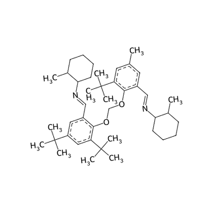 Cc1cc(/C=N/C2CCCCC2C)c(OCOc2c(/C=N/C3CCCCC3C)cc(C(C)(C)C)cc2C(C)(C)C)c(C(C)(C)C)c1